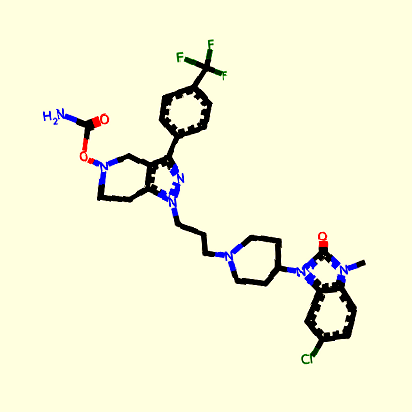 Cn1c(=O)n(C2CCN(CCCn3nc(-c4ccc(C(F)(F)F)cc4)c4c3CCN(OC(N)=O)C4)CC2)c2cc(Cl)ccc21